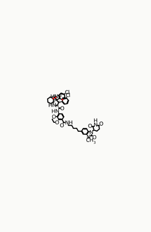 Cn1c(=O)n(C2CCC(=O)NC2=O)c2ccc(CCCCCNC(=O)c3ccc(NC(=O)[C@@H]4NC5(CCCCC5)[C@@]5(C(=O)Nc6cc(Cl)ccc65)[C@H]4c4cccc(Cl)c4F)c4c3OCCO4)cc21